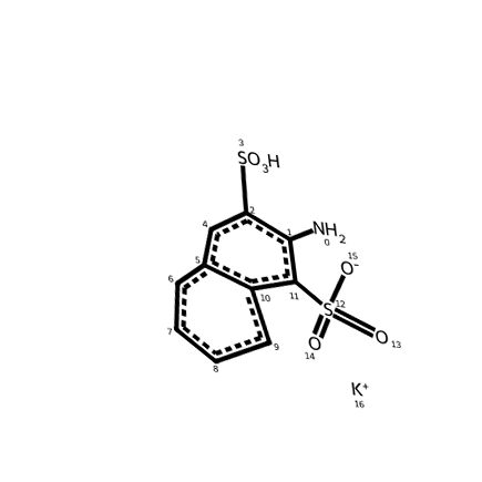 Nc1c(S(=O)(=O)O)cc2ccccc2c1S(=O)(=O)[O-].[K+]